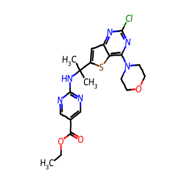 CCOC(=O)c1cnc(NC(C)(C)c2cc3nc(Cl)nc(N4CCOCC4)c3s2)nc1